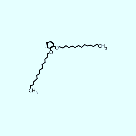 CCCCCCCCCCCCCCOc1[c]cc[c]c1OCCCCCCCCCCCCCC